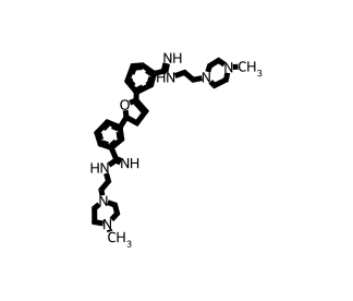 CN1CCN(CCNC(=N)c2cccc(C3=CCC(c4cccc(C(=N)NCCN5CCN(C)CC5)c4)O3)c2)CC1